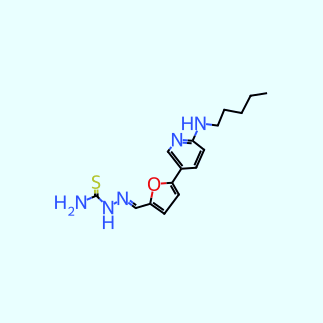 CCCCCNc1ccc(-c2ccc(C=NNC(N)=S)o2)cn1